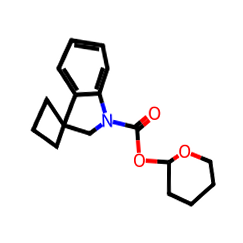 O=C(OC1CCCCO1)N1CC2(CCC2)c2ccccc21